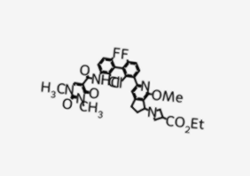 CCOC(=O)C1CN(C2CCc3cc(-c4ccc(F)c(-c5c(F)ccc(NC(=O)c6cn(C)c(=O)n(C)c6=O)c5Cl)c4Cl)nc(OC)c32)C1